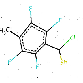 Cc1c(F)c(F)c(C(S)Cl)c(F)c1F